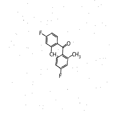 Cc1cc(F)ccc1C(=O)c1ccc(F)cc1C